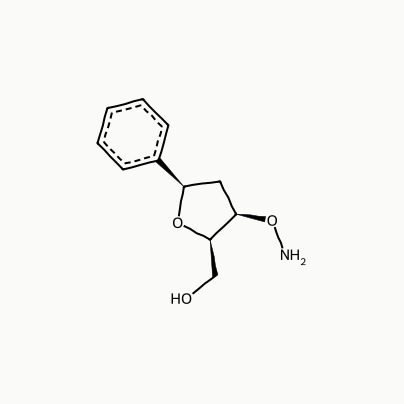 NO[C@@H]1C[C@H](c2ccccc2)O[C@@H]1CO